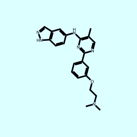 Cc1cnc(-c2cccc(OCCN(C)C)c2)nc1Nc1ccc2[nH]ncc2c1